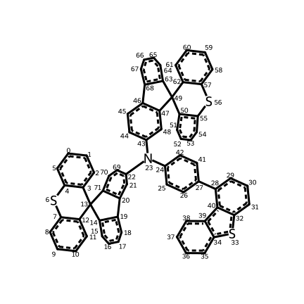 c1ccc2c(c1)Sc1ccccc1C21c2ccccc2-c2cc(N(c3ccc(-c4cccc5sc6ccccc6c45)cc3)c3ccc4c(c3)C3(c5ccccc5Sc5ccccc53)c3ccccc3-4)ccc21